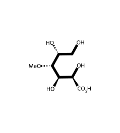 CO[C@@H]([C@H](O)[C@@H](O)C(=O)O)[C@H](O)CO